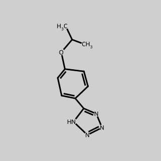 CC(C)Oc1ccc(-c2nnn[nH]2)cc1